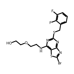 OCCOCCNc1nc(SCc2cccc(F)c2F)nc2nc(Br)sc12